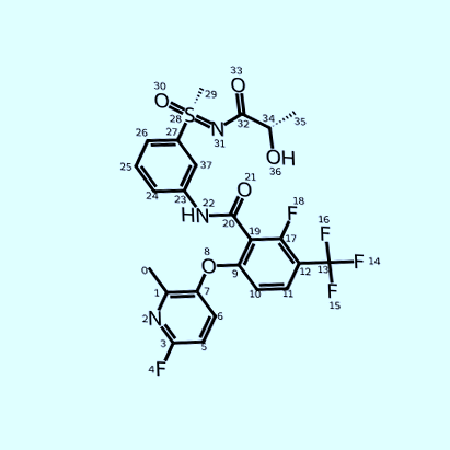 Cc1nc(F)ccc1Oc1ccc(C(F)(F)F)c(F)c1C(=O)Nc1cccc([S@@](C)(=O)=NC(=O)[C@H](C)O)c1